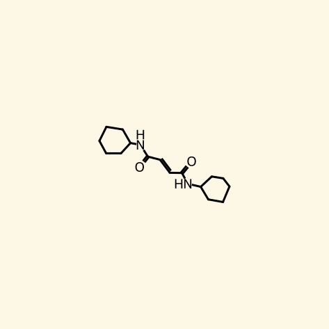 O=C(C=CC(=O)NC1CCCCC1)NC1CCCCC1